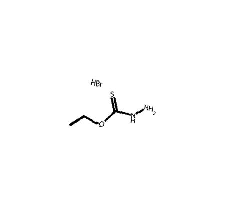 Br.CCOC(=S)NN